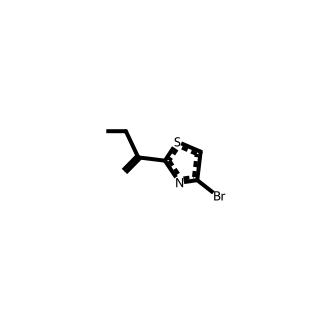 C=C(CC)c1nc(Br)cs1